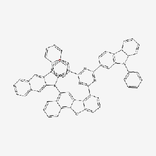 C1=CC2c3ccc(-c4nc(-c5ccccc5)nc(-c5cccc6oc7c8ccccc8c(-n8c9cc%10ccccc%10cc9c9c%10ccccc%10ccc98)cc7c56)n4)cc3N(c3ccccc3)C2C=C1